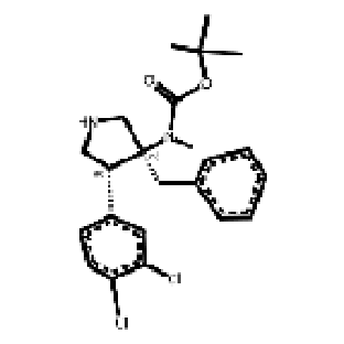 CN(C(=O)OC(C)(C)C)[C@]1(Cc2ccccc2)CNC[C@H]1c1ccc(Cl)c(Cl)c1